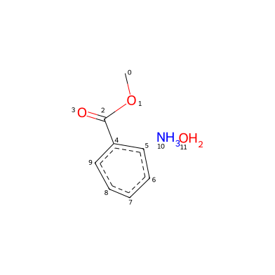 COC(=O)c1ccccc1.N.O